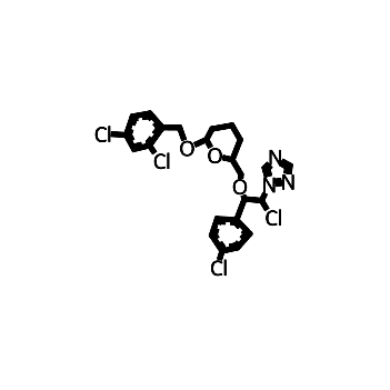 Clc1ccc(C(OCC2CCCC(OCc3ccc(Cl)cc3Cl)O2)C(Cl)n2cncn2)cc1